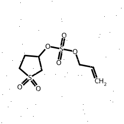 C=CCOS(=O)(=O)OC1CCS(=O)(=O)C1